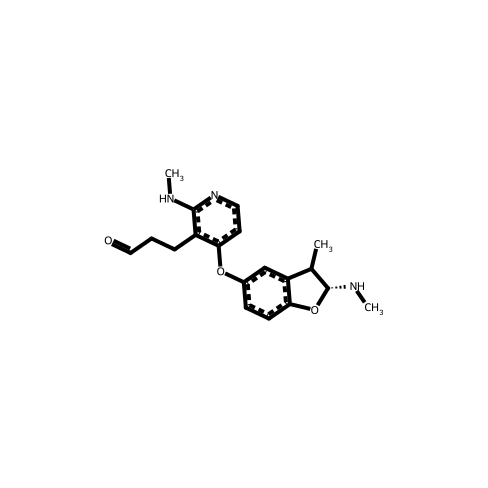 CNc1nccc(Oc2ccc3c(c2)C(C)[C@H](NC)O3)c1CCC=O